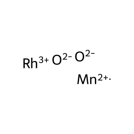 [Mn+2].[O-2].[O-2].[Rh+3]